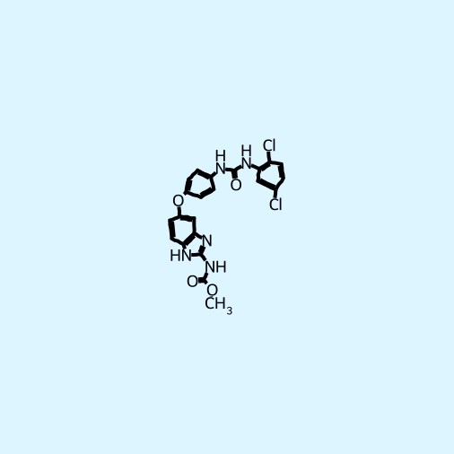 COC(=O)Nc1nc2cc(Oc3ccc(NC(=O)Nc4cc(Cl)ccc4Cl)cc3)ccc2[nH]1